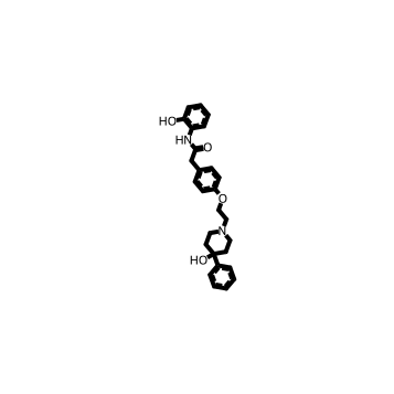 O=C(Cc1ccc(OCCN2CCC(O)(c3ccccc3)CC2)cc1)Nc1ccccc1O